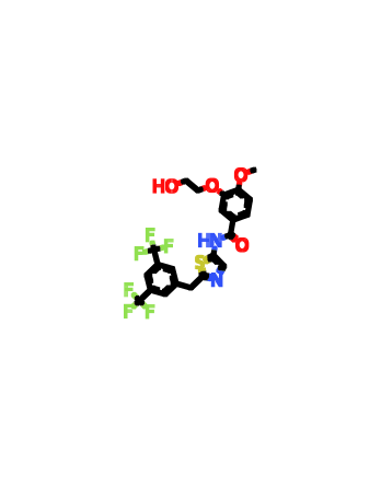 COc1ccc(C(=O)Nc2cnc(Cc3cc(C(F)(F)F)cc(C(F)(F)F)c3)s2)cc1OCCO